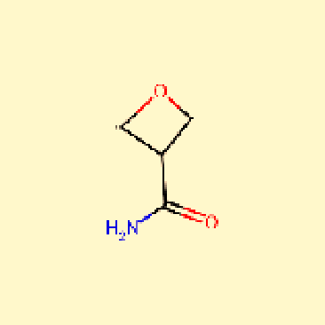 NC(=O)C1[CH]OC1